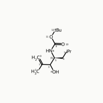 C=C(C)C(O)[C@H](CC(C)C)NC(=O)OC(C)(C)C